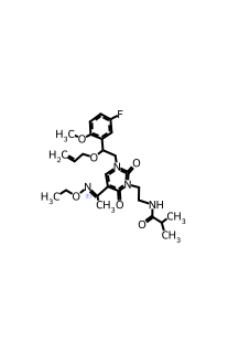 C=CCOC(Cn1cc(/C(C)=N/OCC)c(=O)n(CCNC(=O)C(C)C)c1=O)c1cc(F)ccc1OC